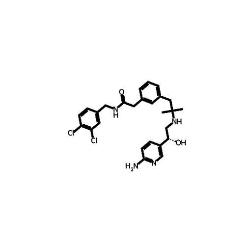 CC(C)(Cc1cccc(CC(=O)NCc2ccc(Cl)c(Cl)c2)c1)NC[C@H](O)c1ccc(N)nc1